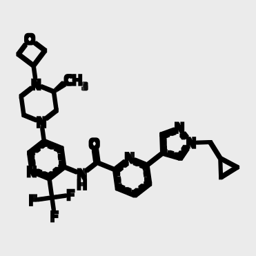 C[C@H]1CN(c2cnc(C(F)(F)F)c(NC(=O)c3cccc(-c4cnn(CC5CC5)c4)n3)c2)CCN1C1COC1